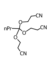 CCCC(OCCC#N)(OCCC#N)OCCC#N